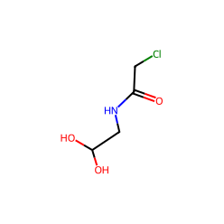 O=C(CCl)NCC(O)O